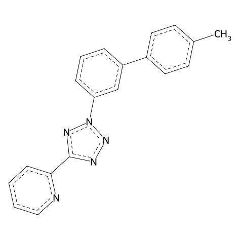 Cc1ccc(-c2cccc(-n3nnc(-c4ccccn4)n3)c2)cc1